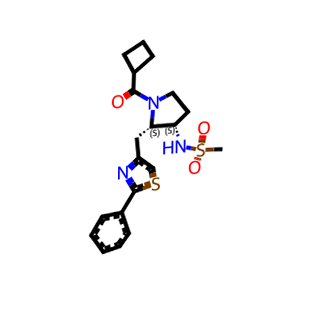 CS(=O)(=O)N[C@H]1CCN(C(=O)C2CCC2)[C@H]1Cc1csc(-c2ccccc2)n1